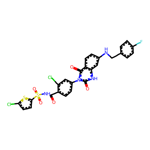 O=C(NS(=O)(=O)c1ccc(Cl)s1)c1ccc(-n2c(=O)[nH]c3cc(NCc4ccc(F)cc4)ccc3c2=O)cc1Cl